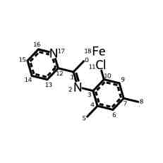 CC(=Nc1c(C)cc(C)cc1Cl)c1ccccn1.[Fe]